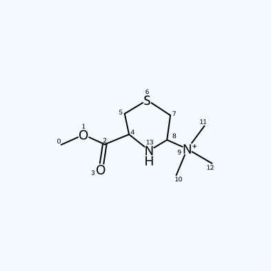 COC(=O)C1CSCC([N+](C)(C)C)N1